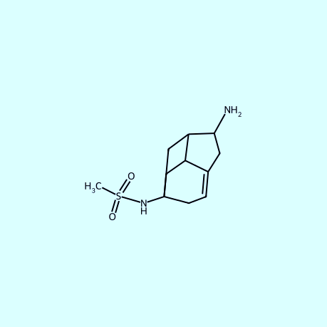 CS(=O)(=O)NC12CC=C3CC(N)C(C1)C3C2